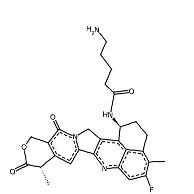 Cc1c(F)cc2nc3c(c4c2c1CC[C@@H]4NC(=O)CCCCN)Cn1c-3cc2c(c1=O)COC(=O)[C@H]2C